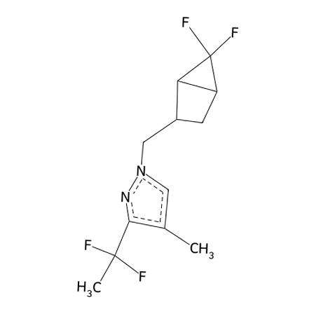 Cc1cn(CC2CC3C2C3(F)F)nc1C(C)(F)F